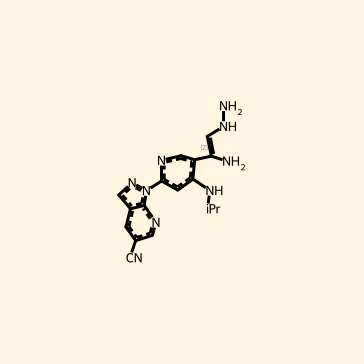 CC(C)Nc1cc(-n2ncc3cc(C#N)cnc32)ncc1/C(N)=C/NN